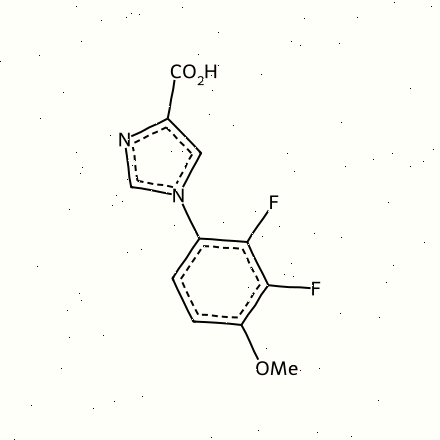 COc1ccc(-n2cnc(C(=O)O)c2)c(F)c1F